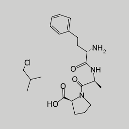 CC(C)CCl.C[C@H](NC(=O)[C@@H](N)CCc1ccccc1)C(=O)N1CCC[C@H]1C(=O)O